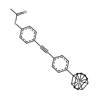 CC(=O)Sc1ccc(C#Cc2ccc([C]34[CH]5[CH]6[CH]7[CH]3[Fe]6754389%10[CH]4[CH]3[CH]8[CH]9[CH]4%10)cc2)cc1